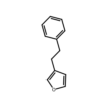 [c]1occc1CCc1ccccc1